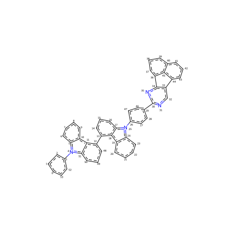 c1ccc(-n2c3ccccc3c3c(-c4cccc5c4c4ccccc4n5-c4ccc(-c5ncc6c(n5)-c5cccc7cccc-6c57)cc4)cccc32)cc1